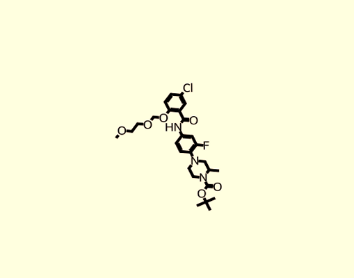 COCCOCOc1ccc(Cl)cc1C(=O)Nc1ccc(N2CCN(C(=O)OC(C)(C)C)C(C)C2)c(F)c1